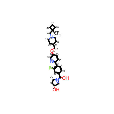 C[C@H]1C[C@@H](O)CN1C(O)c1ccc(-c2ccc(OCC3CCN(CC4(C(F)(F)F)CCC4)CC3)cn2)c(F)c1